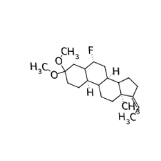 C/C=C1/CCC2[C@@H]3C[C@@H](F)C4CC(OC)(OC)CC[C@@H]4C3CC[C@]12C